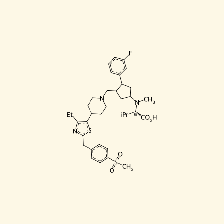 CCc1nc(Cc2ccc(S(C)(=O)=O)cc2)sc1C1CCN(CC2CC(N(C)[C@@H](C(=O)O)C(C)C)CC2c2cccc(F)c2)CC1